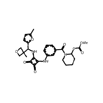 COC(=O)OC1CCCCN1C(=O)c1cccc(Nc2c(NC(c3ccc(C)o3)C3(C)COC3)c(=O)c2=O)c1